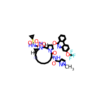 Cn1ccc(C(=O)N[C@H]2CCCCC/C=C\[C@@H]3C[C@@]3(C(=O)NS(=O)(=O)C3CC3)NC(=O)[C@@H]3C[C@@H](Oc4nc5cc(OC(F)(F)F)ccc5c5ccccc45)CN3C2=O)n1